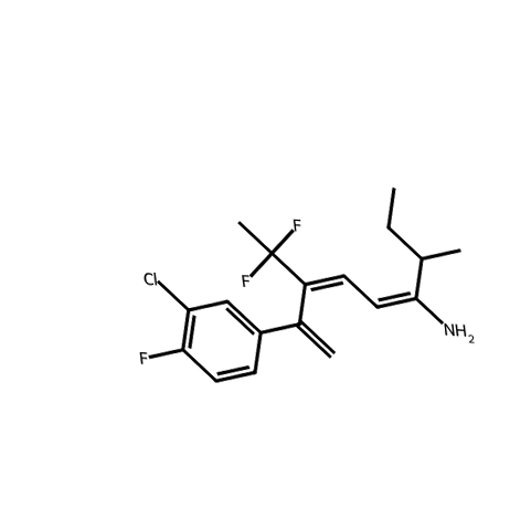 C=C(/C(=C\C=C(\N)C(C)CC)C(C)(F)F)c1ccc(F)c(Cl)c1